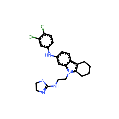 Clc1ccc(Nc2ccc3c4c(n(CCNC5=NCCN5)c3c2)CCCC4)cc1Cl